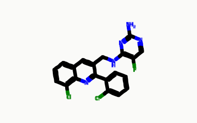 Nc1ncc(F)c(NCc2cc3cccc(Cl)c3nc2-c2ccccc2Cl)n1